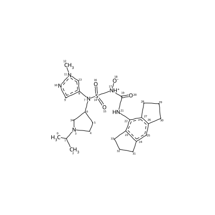 CC(C)N1CCC(N(c2cnn(C)c2)S(=O)(=O)[NH+]([O-])C(=O)Nc2c3c(cc4c2CCC4)CCC3)C1